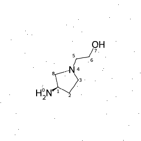 N[C@@H]1CCN(CCO)C1